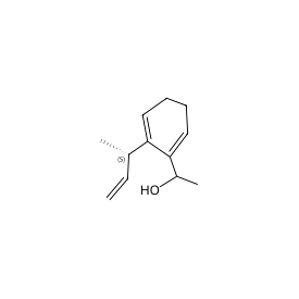 C=C[C@H](C)C1=CCCC=C1C(C)O